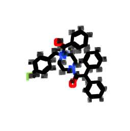 O=C(C(c1ccccc1)c1ccccc1)N1CC[N+](Cc2ccc(F)cc2)(C(=O)c2ccccc2)CC1